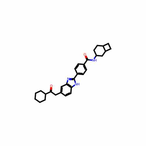 O=C(NC1CCC2CCC2C1)c1ccc(-c2nc3cc(CC(=O)C4CCCCC4)ccc3[nH]2)cc1